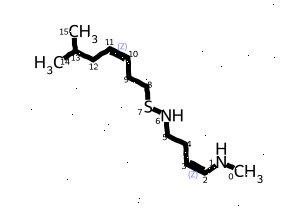 CN/C=C\CCNSCC/C=C\CC(C)C